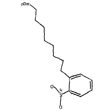 CCCCCCCCCCCCCCCCCCc1ccccc1[SiH](Cl)Cl